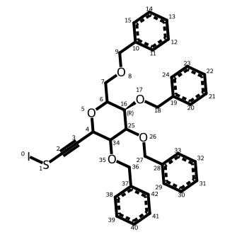 ISC#CC1OC(COCc2ccccc2)[C@@H](OCc2ccccc2)C(OCc2ccccc2)C1OCc1ccccc1